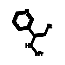 CC/C=C(/NCCC)c1cccnc1